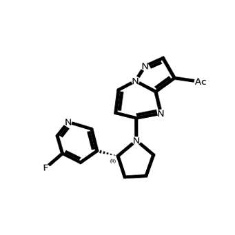 CC(=O)c1cnn2ccc(N3CCC[C@@H]3c3cncc(F)c3)nc12